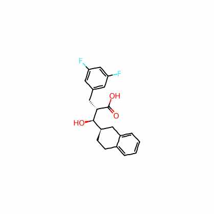 O=C(O)[C@@H](Cc1cc(F)cc(F)c1)[C@H](O)[C@@H]1CCc2ccccc2C1